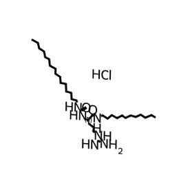 CCCCCCCCCCCCCCCCNC(=O)N[C@H](CCCNC(=N)N)C(=O)NCCCCCCCCCCCC.Cl